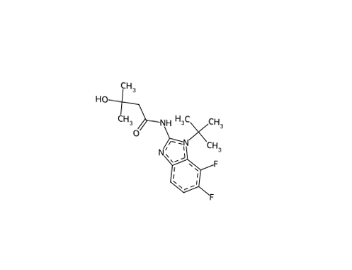 CC(C)(O)CC(=O)Nc1nc2ccc(F)c(F)c2n1C(C)(C)C